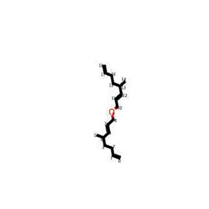 C=CCCC(C)C=CCOCC=CC(C)CCC=C